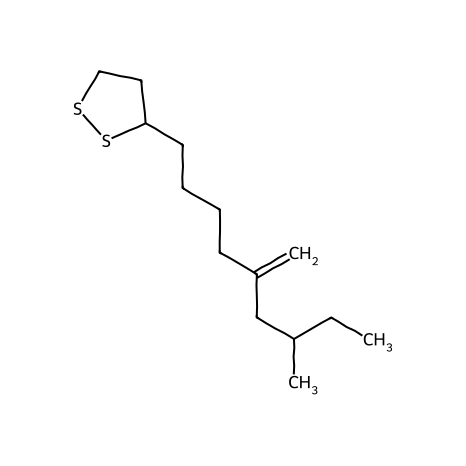 C=C(CCCCC1CCSS1)CC(C)CC